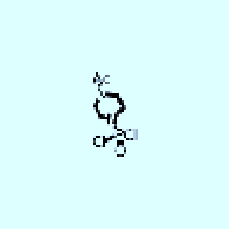 CC(=O)N1CCN(P(=O)(Cl)Cl)CC1